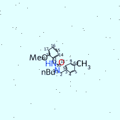 CCCCN(Cc1ccc(C)cc1)C(=O)Nc1ccccc1OC